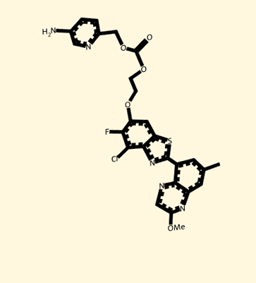 COc1cnc2c(-c3nc4c(Cl)c(F)c(OCCOC(=O)OCc5ccc(N)cn5)cc4s3)cc(C)cc2n1